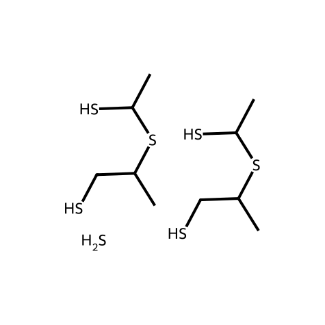 CC(S)SC(C)CS.CC(S)SC(C)CS.S